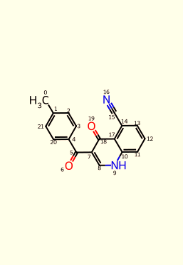 Cc1ccc(C(=O)c2c[nH]c3cccc(C#N)c3c2=O)cc1